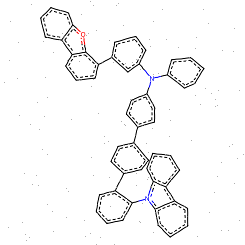 c1ccc(N(c2ccc(-c3ccc(-c4ccccc4-n4c5ccccc5c5ccccc54)cc3)cc2)c2cccc(-c3cccc4c3oc3ccccc34)c2)cc1